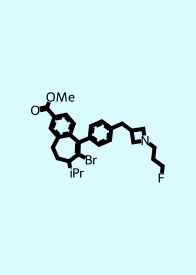 COC(=O)c1ccc2c(c1)CCC(C(C)C)C(Br)=C2c1ccc(CC2CN(CCCF)C2)cc1